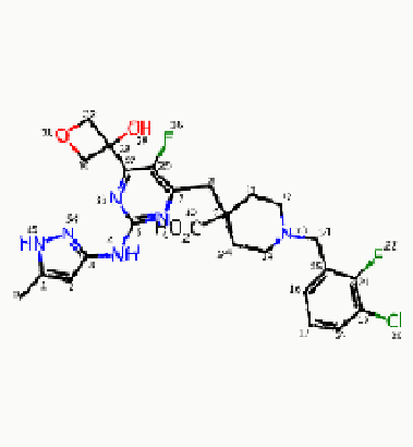 Cc1cc(Nc2nc(CC3(C(=O)O)CCN(Cc4cccc(Cl)c4F)CC3)c(F)c(C3(O)COC3)n2)n[nH]1